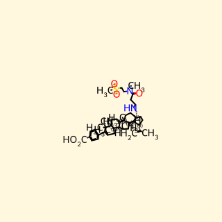 C=C(C)[C@@H]1CC[C@]2(CNCCC(=O)N(C)CCS(C)(=O)=O)CC[C@]3(C)[C@H](CC[C@@H]4[C@@]5(C)CC=C(c6ccc(C(=O)O)cc6)C(C)(C)[C@@H]5CC[C@]43C)[C@@H]12